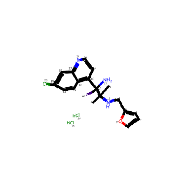 CC(C)(NCc1ccco1)C(N)(I)c1ccnc2cc(Cl)ccc12.Cl.Cl